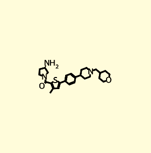 Cc1cc(-c2ccc(C3CCN(CC4CCOCC4)CC3)cc2)sc1C(=O)N1CC[C@H](N)C1